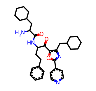 NC(CC1CCCCC1)C(=O)NC(CCc1ccccc1)C(=O)c1oc(-c2ccncc2)nc1CC1CCCCC1